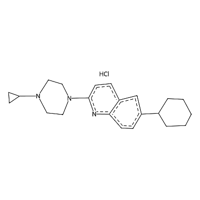 Cl.c1cc2nc(N3CCN(C4CC4)CC3)ccc2cc1C1CCCCC1